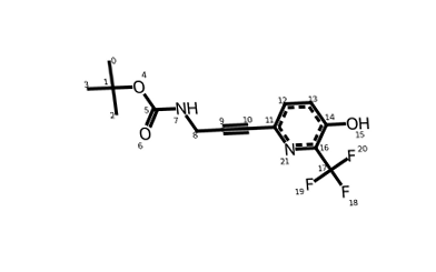 CC(C)(C)OC(=O)NCC#Cc1ccc(O)c(C(F)(F)F)n1